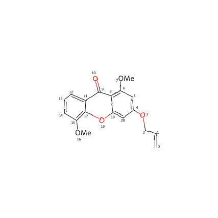 C=CCOc1cc(OC)c2c(=O)c3cccc(OC)c3oc2c1